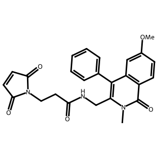 COc1ccc2c(=O)n(C)c(CNC(=O)CCN3C(=O)C=CC3=O)c(-c3ccccc3)c2c1